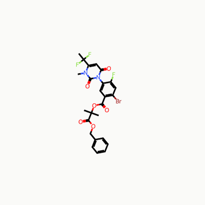 Cn1c(C(C)(F)F)cc(=O)n(-c2cc(C(=O)OC(C)(C)C(=O)OCc3ccccc3)c(Br)cc2F)c1=O